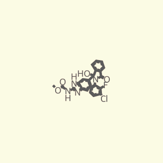 COC(=O)Nc1nc2ccc(C3(O)c4ccccc4C(=O)N3c3cccc(Cl)c3F)cc2[nH]1